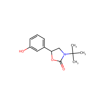 CC(C)(C)N1CC(c2cccc(O)c2)OC1=O